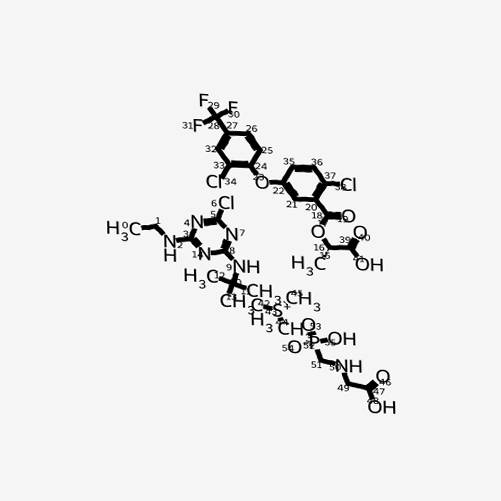 CCNc1nc(Cl)nc(NC(C)(C)C)n1.C[C@H](OC(=O)c1cc(Oc2ccc(C(F)(F)F)cc2Cl)ccc1Cl)C(=O)O.C[S+](C)C.O=C(O)CNCP(=O)([O-])O